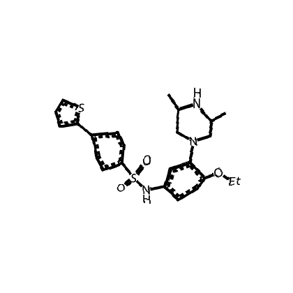 CCOc1ccc(NS(=O)(=O)c2ccc(-c3cccs3)cc2)cc1N1CC(C)NC(C)C1